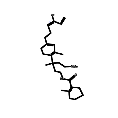 C=N/C(=C\CCC1=CC(C)=C(C(C)(CCNC)CCNC(=O)C2=C(C)CCCC2)CC1)C(C)=O